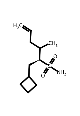 C=CCC(C)[C@H](CC1CCC1)S(N)(=O)=O